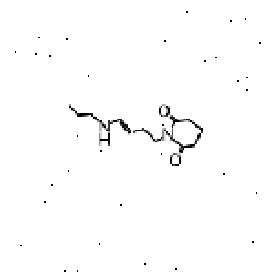 CCCN/C=C/CCN1C(=O)CCCC1=O